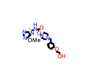 COc1ncnc2sc(NC(=O)ON3CCN(Cc4cccc(OCCO)c4)CC3)nc12